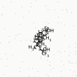 CC[C@]1(O)CCC2(C)C(=CC[C@@H]3[C@@H]2CCC2(C)[C@@H]([C@H](C)CCC(O)C(F)(F)F)CC[C@@H]32)C1